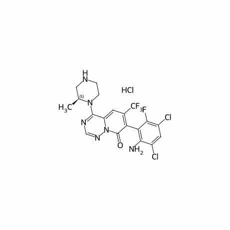 C[C@H]1CNCCN1c1ncnn2c(=O)c(-c3c(N)c(Cl)cc(Cl)c3F)c(C(F)(F)F)cc12.Cl